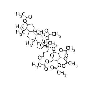 CC(=O)OC[C@H]1O[C@H](O[C@@](C)(CCC=O)C2CC[C@]3(C)[C@@H]2C(OC(C)=O)CC2[C@@]4(C)CC[C@H](OC(C)=O)C(C)(C)C4CC[C@]23C)[C@H](OC(C)=O)[C@@H](OC(C)=O)[C@@H]1OC(C)=O